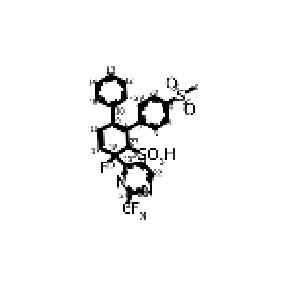 CS(=O)(=O)c1ccc(C2=C(c3ccccc3)C=CC(F)(c3ccnc(C(F)(F)F)n3)C2S(=O)(=O)O)cc1